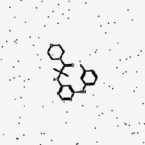 Cc1cccc(Nc2cc(NC(C)(C)C(=O)N3CCOCC3)ncn2)c1